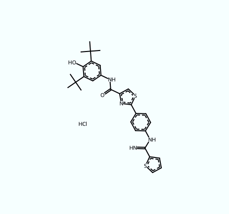 CC(C)(C)c1cc(NC(=O)c2csc(-c3ccc(NC(=N)c4cccs4)cc3)n2)cc(C(C)(C)C)c1O.Cl